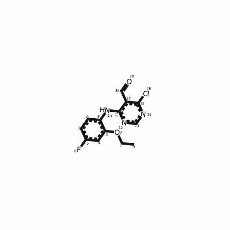 CCOc1cc(F)ccc1Nc1ncnc(Cl)c1C=O